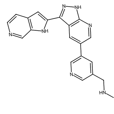 CCNCc1cncc(-c2cnc3[nH]nc(-c4cc5ccncc5[nH]4)c3c2)c1